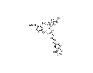 COc1ccc(OCCN(CCCCc2ccc3c(n2)NCCC3)CC[C@H](NC(=O)CC(C)(C)C)C(=O)O)cc1